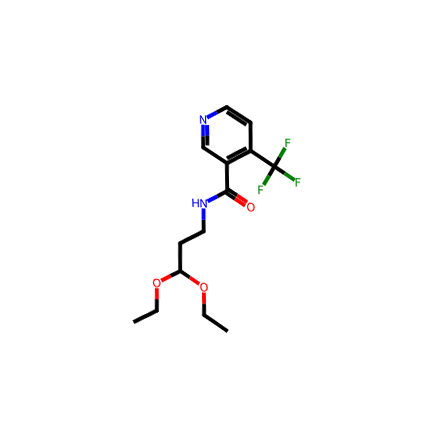 CCOC(CCNC(=O)c1cnccc1C(F)(F)F)OCC